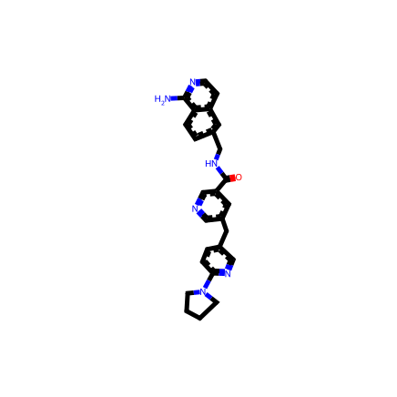 Nc1nccc2cc(CNC(=O)c3cncc(Cc4ccc(N5CCCC5)nc4)c3)ccc12